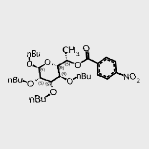 CCCCO[C@H]1O[C@H]([C@H](C)OC(=O)c2ccc([N+](=O)[O-])cc2)[C@@H](OCCCC)[C@H](OCCCC)[C@@H]1OCCCC